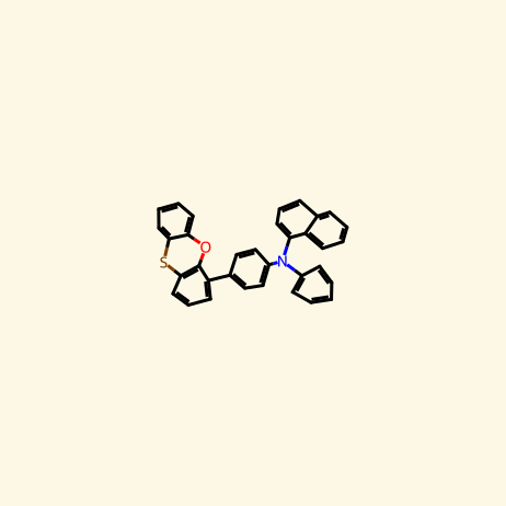 c1ccc(N(c2ccc(-c3cccc4c3Oc3ccccc3S4)cc2)c2cccc3ccccc23)cc1